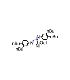 CCCCCCCCC(/C=N/c1ccc(CCCC)c(CCCC)c1)=N\c1ccc(CCCC)c(CCCC)c1.[Ni]